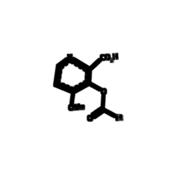 CCC(=O)Oc1c(OC)ccnc1C(=O)O